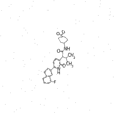 CC(C)C(C(=O)NC1CCS(=O)(=O)CC1)c1ccc(-c2ccc3cccc(F)c3c2)[nH]c1=O